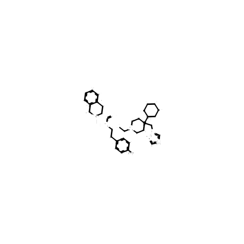 O=C(N[C@H](CCN1CCC(Cn2cncn2)(C2CCCCC2)CC1)Cc1ccc(Cl)cc1)[C@H]1Cc2ccccc2CN1